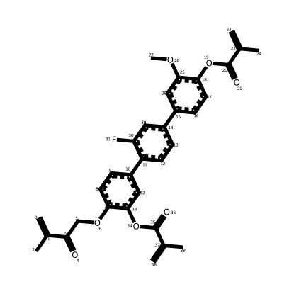 C=C(C)C(=O)COc1ccc(-c2ccc(-c3ccc(OC(=O)C(=C)C)c(OC)c3)cc2F)cc1OC(=O)C(=C)C